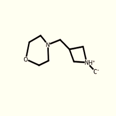 [CH2-][NH+]1CC(CN2CCOCC2)C1